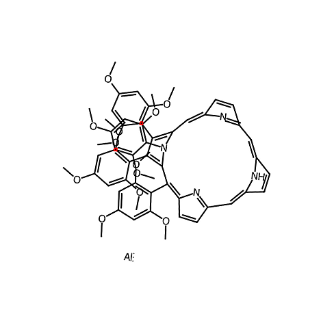 COc1cc(OC)c(-c2c(-c3c(OC)cc(OC)cc3OC)c3c(-c4c(OC)cc(OC)cc4OC)c4nc(cc5ccc(cc6nc(cc2n3-c2c(OC)cc(OC)cc2OC)C=C6)[nH]5)C=C4)c(OC)c1.[Al]